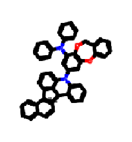 CC12c3ccccc3N(c3cc4c(c(N(c5ccccc5)c5ccccc5)c3)OCc3ccccc3O4)c3cccc(c31)-c1c2ccc2ccccc12